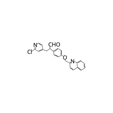 O=CC(Cc1ccnc(Cl)c1)c1ccc(OCc2ccc3ccccc3n2)cc1